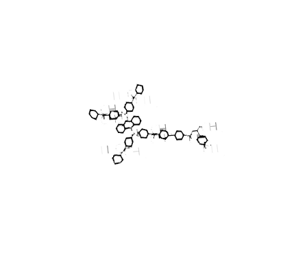 CCC(CC(C)c1ccc(-c2ccc(C(C)(C)c3ccc(N(c4ccc(C(C)(C)c5ccccc5)cc4)c4c5ccccc5c(N(c5ccc(C(C)(C)c6ccccc6)cc5)c5ccc(C(C)(C)c6ccccc6)cc5)c5ccccc45)cc3)cc2)cc1)c1ccc(C)cc1